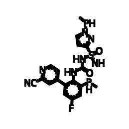 CPc1cc(F)cc(-c2ccnc(C#N)c2)c1NC(=O)NS(=N)(=O)c1ccn(PC)n1